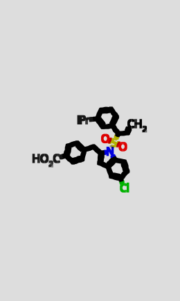 C=CC(c1cccc(C(C)C)c1)S(=O)(=O)n1c(Cc2ccc(C(=O)O)cc2)cc2cc(Cl)ccc21